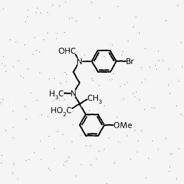 COc1cccc(C(C)(C(=O)O)N(C)CCN(C=O)c2ccc(Br)cc2)c1